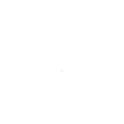 CC1CC(Oc2ccc3ccccc3c2)CN1C